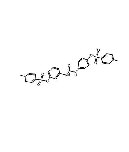 Cc1ccc(S(=O)(=O)Oc2ccc(NC(=O)Nc3cccc(OS(=O)(=O)c4ccc(C)cc4)c3)cc2)cc1